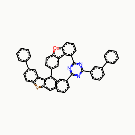 c1ccc(-c2cccc(-c3nc(-c4ccccc4)nc(-c4cccc5oc6ccc(-c7cccc8sc9ccc(-c%10ccccc%10)cc9c78)cc6c45)n3)c2)cc1